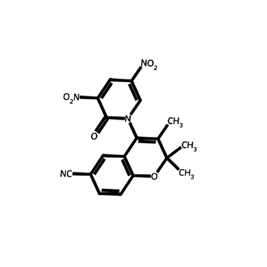 CC1=C(n2cc([N+](=O)[O-])cc([N+](=O)[O-])c2=O)c2cc(C#N)ccc2OC1(C)C